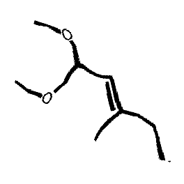 [CH2]C/C(C)=C/C(OC)OC